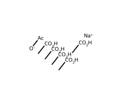 CC(=O)O.CC(=O)O.CC(=O)O.CC(=O)O.CC(=O)O.CC(=O)[O-].[Na+]